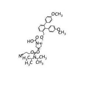 COc1ccc(-c2cccc(COC[C@@H]3C[C@@H](OP(OCCC#N)N(C(C)C)C(C)C)CN3C(=O)O)c2-c2ccc(OC)cc2)cc1